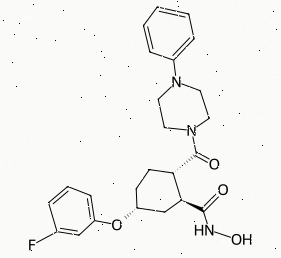 O=C(NO)[C@H]1C[C@H](Oc2cccc(F)c2)CC[C@@H]1C(=O)N1CCN(c2ccccc2)CC1